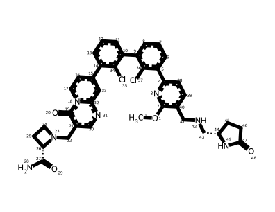 COc1nc(-c2cccc(-c3cccc(-c4ccn5c(=O)c(CN6CC[C@H]6C(N)=O)cnc5c4)c3Cl)c2Cl)ccc1CNC[C@@H]1CCC(=O)N1